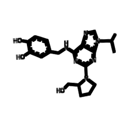 CC(C)n1cnc2c(NCc3ccc(O)c(O)c3)nc(N3CCCC3CO)nc21